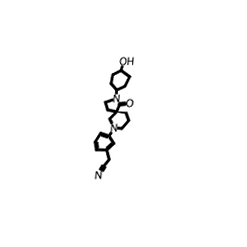 N#CCc1cccc(N2CCC[C@]3(CCN(C4CCC(O)CC4)C3=O)C2)c1